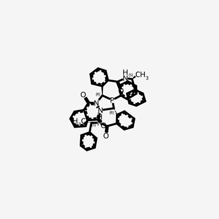 C[C@H](NC(=O)c1ccccc1[C@@H]1n2c(=O)c3ccccc3c(=O)n2[C@@H](c2ccccc2C(=O)N[C@@H](C)c2ccccc2)P1c1ccccc1)c1ccccc1